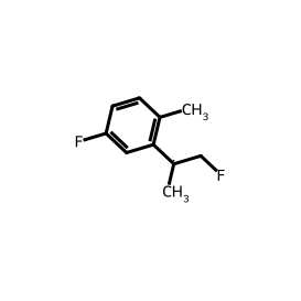 C[C](CF)c1cc(F)ccc1C